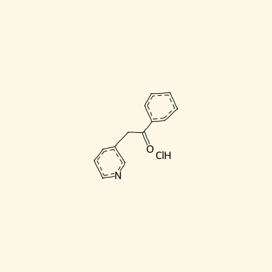 Cl.O=C(Cc1cccnc1)c1ccccc1